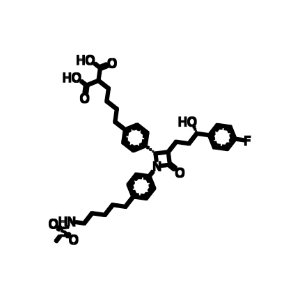 CS(=O)(=O)NCCCCCc1ccc(N2C(=O)C(CC[C@H](O)c3ccc(F)cc3)[C@H]2c2ccc(CCCCC(C(=O)O)C(=O)O)cc2)cc1